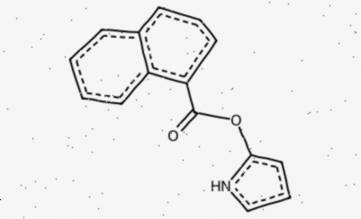 O=C(Oc1ccc[nH]1)c1cccc2ccccc12